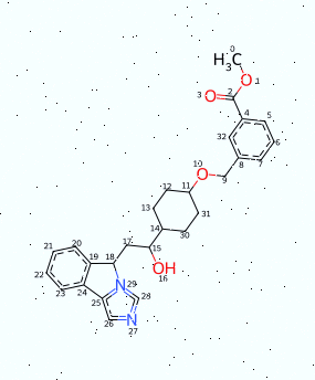 COC(=O)c1cccc(COC2CCC(C(O)CC3c4ccccc4-c4cncn43)CC2)c1